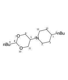 CCCCC1CCN(C2COC(CCCC)OC2)CC1